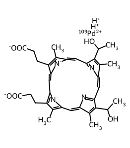 CC1=C(C(C)O)c2cc3nc(cc4[n-]c(cc5[n-]c(cc1n2)c(C)c5CCC(=O)[O-])c(CCC(=O)[O-])c4C)C(C(C)O)=C3C.[109Pd+2].[H+].[H+]